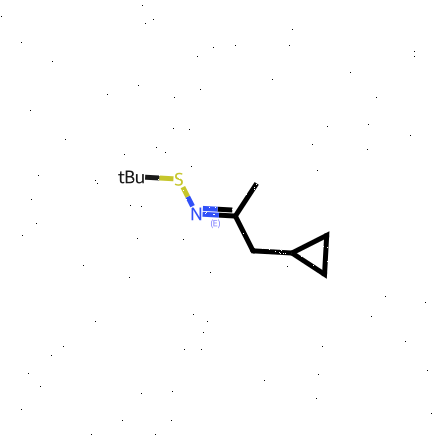 C/C(CC1CC1)=N\SC(C)(C)C